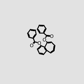 O=C(OC1=CC=C=Cc2cccc(OC(=O)c3ccccc3)c21)c1ccccc1